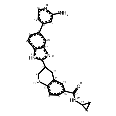 Nc1cc(-c2ccc3[nH]c(C4COc5ccc(C(=O)NC6CC6)cc5C4)nc3c2)ccn1